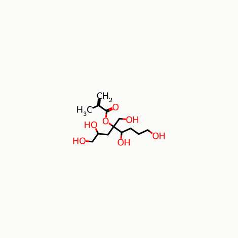 C=C(C)C(=O)OC(CO)(CC(O)CO)C(O)CCCO